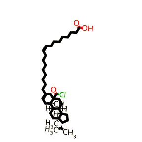 CC(C)[C@H]1CC[C@H]2[C@@H]3CCC4(C(=O)Cl)CC(CCCCCCCC/C=C\CCCCCCCC(=O)O)=CC[C@]4(C)[C@H]3CC[C@]12C